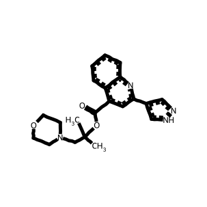 CC(C)(CN1CCOCC1)OC(=O)c1cc(-c2cn[nH]c2)nc2ccccc12